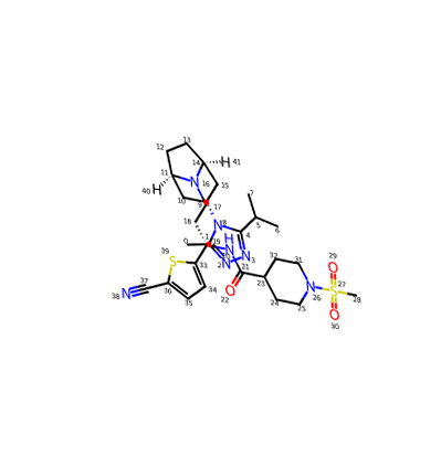 Cc1nnc(C(C)C)n1[C@@H]1C[C@H]2CC[C@@H](C1)N2CC[C@H](NC(=O)C1CCN(S(C)(=O)=O)CC1)c1ccc(C#N)s1